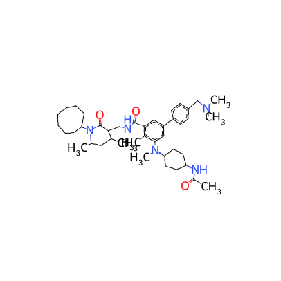 CC(=O)N[C@H]1CC[C@@H](N(C)c2cc(-c3ccc(CN(C)C)cc3)cc(C(=O)NCC3C(=O)N(C4CCCCCCC4)C(C)CC3C)c2C)CC1